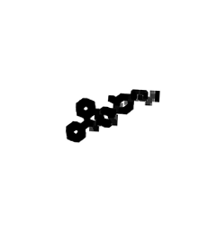 CC1CN(C(=O)O)CCN1c1cnc(N=C(c2ccccc2)c2ccccc2)cn1